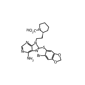 Nc1ncnc2c1nc(Sc1cc3c(cc1Br)OCO3)n2CC[C@@H]1CCCCN1C(=O)O